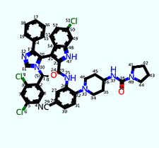 C[C@@H](c1ccc(Cl)cc1Cl)n1cnc(-c2ccccc2)c1-c1c(C(=O)Nc2cc(C#N)ccc2N2CCC(NC(=O)N3CCCC3)CC2)[nH]c2cc(Cl)ccc12